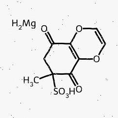 CC1(S(=O)(=O)O)CC(=O)C2=C(OC=CO2)C1=O.[MgH2]